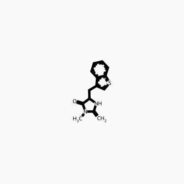 C=C1NC(Cc2csc3ccccc23)C(=O)N1C